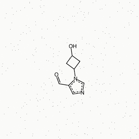 O=Cc1cncn1C1CC(O)C1